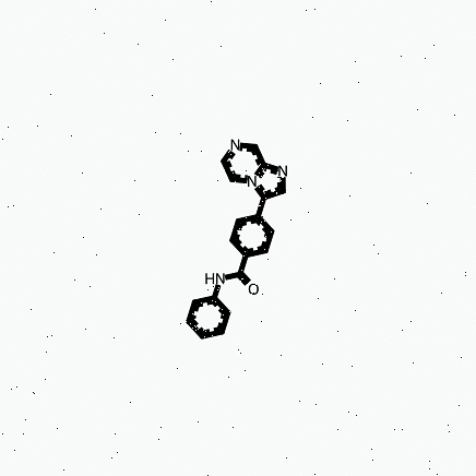 O=C(Nc1ccccc1)c1ccc(-c2cnc3cnccn23)cc1